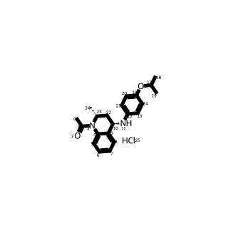 CC(=O)N1c2ccccc2[C@@H](Nc2ccc(OC(C)C)cc2)C[C@H]1C.Cl